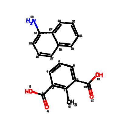 Cc1c(C(=O)O)cccc1C(=O)O.Nc1cccc2ccccc12